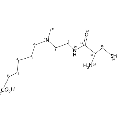 CN(CCCCCC(=O)O)CCNC(=O)C(N)CS